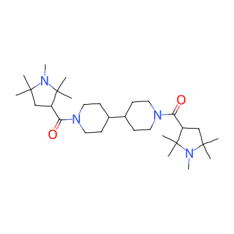 CN1C(C)(C)CC(C(=O)N2CCC(C3CCN(C(=O)C4CC(C)(C)N(C)C4(C)C)CC3)CC2)C1(C)C